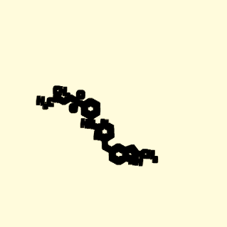 Cc1cc2cc(Cc3ccnc(Nc4cccc(S(=O)(=O)CCN(C)C)c4)n3)ccc2[nH]1